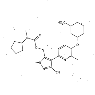 Cc1nc(-c2c(C#N)nn(C)c2COC(=O)N(C)C2CCCC2)ccc1O[C@H]1CCCC(C(=O)O)C1